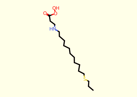 CCCSCCCCCCCCCCCNCCC(=O)OO